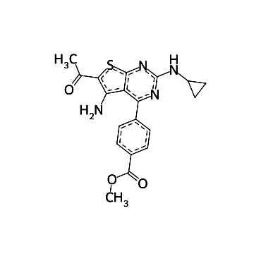 COC(=O)c1ccc(-c2nc(NC3CC3)nc3sc(C(C)=O)c(N)c23)cc1